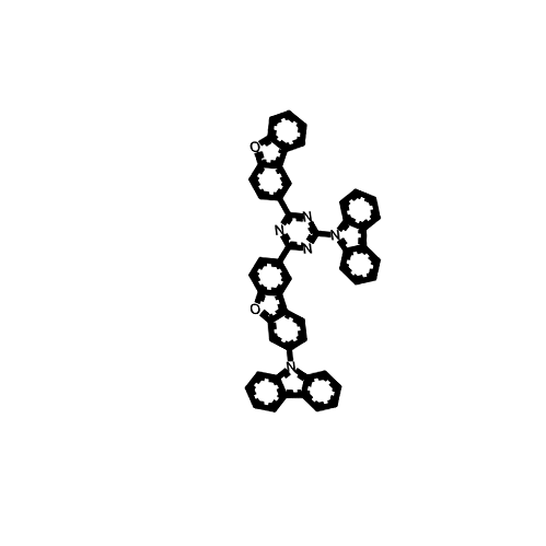 c1ccc2c(c1)oc1ccc(-c3nc(-c4ccc5oc6cc(-n7c8ccccc8c8ccccc87)ccc6c5c4)nc(-n4c5ccccc5c5ccccc54)n3)cc12